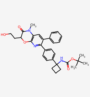 CN1C(=O)C(CCO)Oc2nc(-c3ccc(C4(NC(=O)OC(C)(C)C)CCC4)cc3)c(-c3ccccc3)cc21